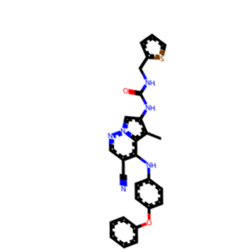 Cc1c(NC(=O)NCc2cccs2)cn2ncc(C#N)c(Nc3ccc(Oc4ccccc4)cc3)c12